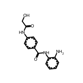 Nc1ccccc1NC(=O)c1ccc(NC(=O)CO)cc1